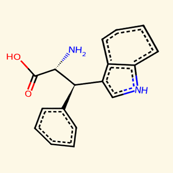 N[C@@H](C(=O)O)[C@H](c1ccccc1)c1c[nH]c2ccccc12